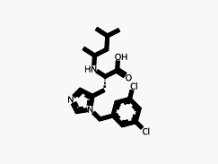 CC(C)CC(C)N[C@@H](Cc1cncn1Cc1cc(Cl)cc(Cl)c1)C(=O)O